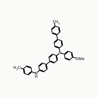 COc1ccc(N(c2ccc(-c3ccc(C)cc3)cc2)c2ccc(-c3ccc(Nc4ccc(C)cc4)cc3)cc2)cc1